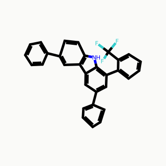 FC(F)(F)c1ccccc1-c1cc(-c2ccccc2)cc2c1[nH]c1ccc(-c3ccccc3)cc12